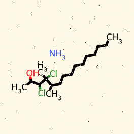 CCCCCCCCCCC(C)C(C)(Cl)C(Cl)C(C)O.N